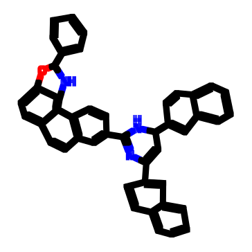 C1=C(c2ccc3ccccc3c2)N=C(c2ccc3c(ccc4ccc5c(c43)NC(c3ccccc3)O5)c2)NC1c1ccc2ccccc2c1